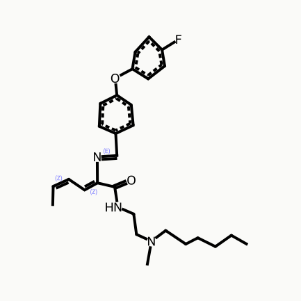 C\C=C/C=C(\N=C\c1ccc(Oc2ccc(F)cc2)cc1)C(=O)NCCN(C)CCCCCC